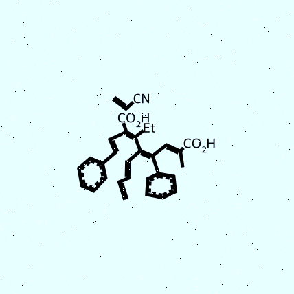 C=CC#N.C=CC=CC(C(CC)=C(C=Cc1ccccc1)C(=O)O)=C(C=C(C)C(=O)O)c1ccccc1